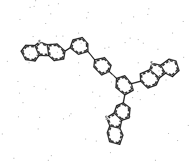 c1cc(-c2ccc(-c3cc(-c4ccc5c(c4)sc4ccccc45)cc(-c4ccc5c(c4)sc4ccccc45)c3)cc2)cc(-c2ccc3c(c2)sc2ccccc23)c1